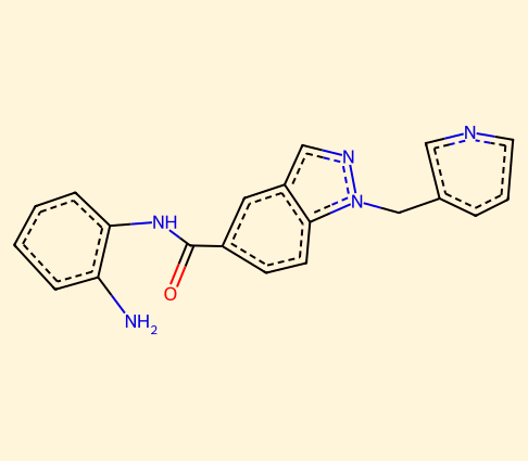 Nc1ccccc1NC(=O)c1ccc2c(cnn2Cc2cccnc2)c1